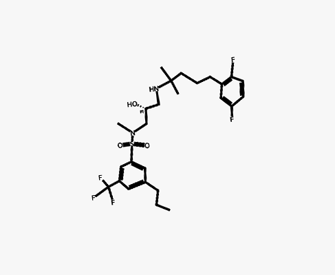 CCCc1cc(C(F)(F)F)cc(S(=O)(=O)N(C)C[C@H](O)CNC(C)(C)CCCc2cc(F)ccc2F)c1